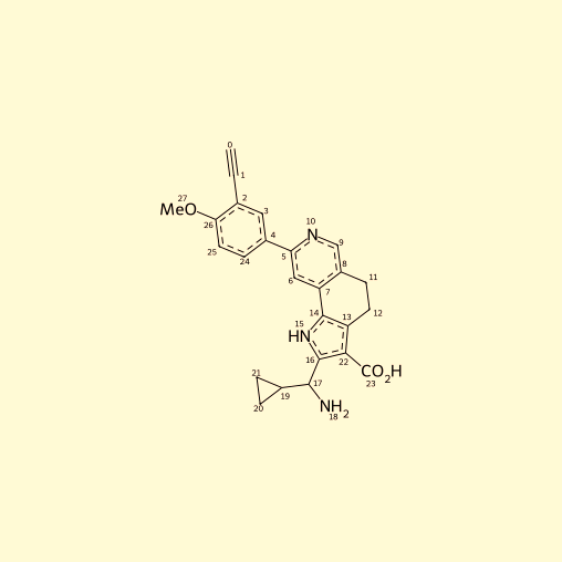 C#Cc1cc(-c2cc3c(cn2)CCc2c-3[nH]c(C(N)C3CC3)c2C(=O)O)ccc1OC